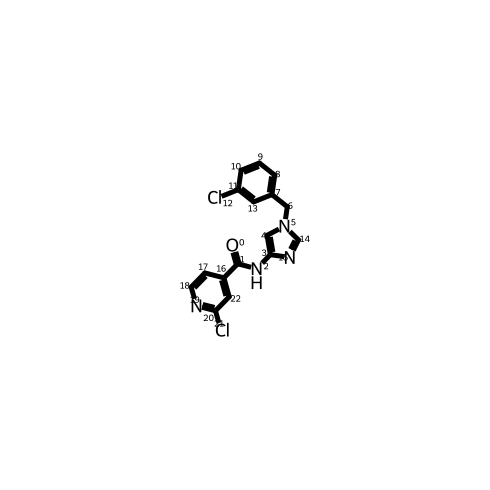 O=C(Nc1cn(Cc2cccc(Cl)c2)cn1)c1ccnc(Cl)c1